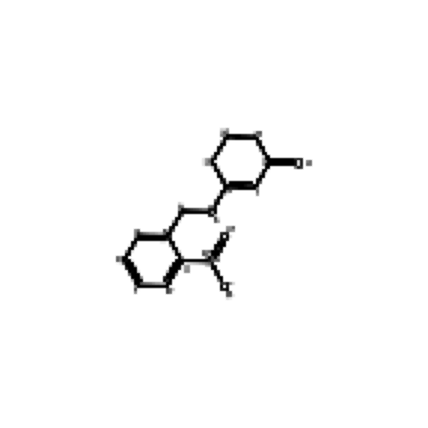 O=C1C=C(OCc2ccccc2[N+](=O)[O-])CCC1